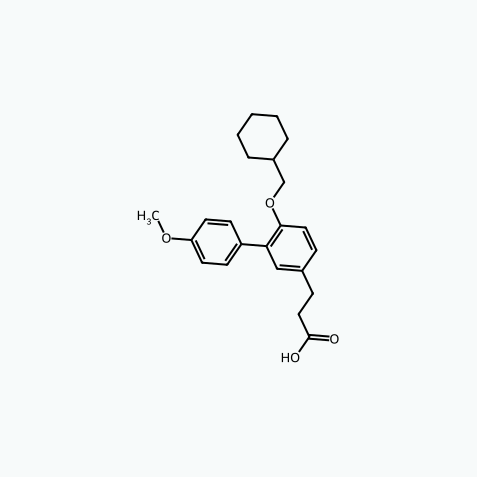 COc1ccc(-c2cc(CCC(=O)O)ccc2OCC2CCCCC2)cc1